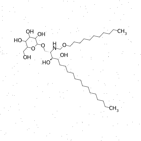 CCCCCCCCCCCCCC[C@@H](O)[C@@H](O)[C@H](COC1OC(CO)C(O)C(O)C1O)NCOCCCCCCCCCCC